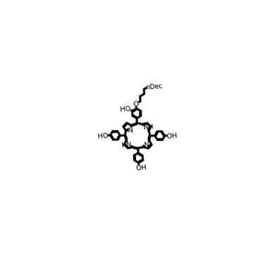 CCCCCCCCCCCCCCOc1ccc(-c2c3nc(c(-c4ccc(O)cc4)c4ccc([nH]4)c(-c4ccc(O)cc4)c4nc(c(-c5ccc(O)cc5)c5ccc2[nH]5)C=C4)C=C3)cc1O